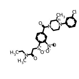 CCN(C)C(=O)C[S+]([O-])c1ccc(C(=O)N2CCN(c3cccc(Cl)c3)[C@H](C)C2)cc1[N+](=O)[O-]